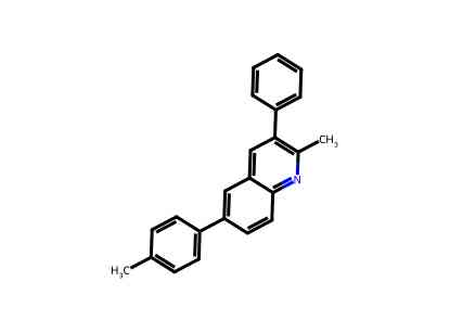 Cc1ccc(-c2ccc3nc(C)c(-c4ccccc4)cc3c2)cc1